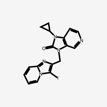 O=c1n(Cc2nc3ccccn3c2I)c2cnccc2n1C1CC1